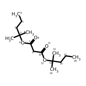 CCCC(C)(C)OC(=O)CC(=O)OC(C)(C)CCC